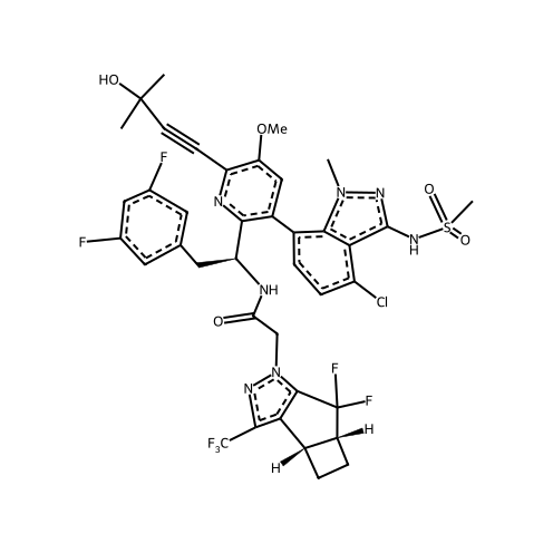 COc1cc(-c2ccc(Cl)c3c(NS(C)(=O)=O)nn(C)c23)c([C@H](Cc2cc(F)cc(F)c2)NC(=O)Cn2nc(C(F)(F)F)c3c2C(F)(F)[C@@H]2CC[C@H]32)nc1C#CC(C)(C)O